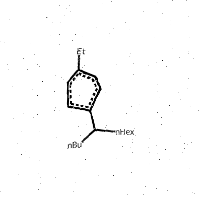 [CH2]CCCC(CCCCCC)c1ccc(CC)cc1